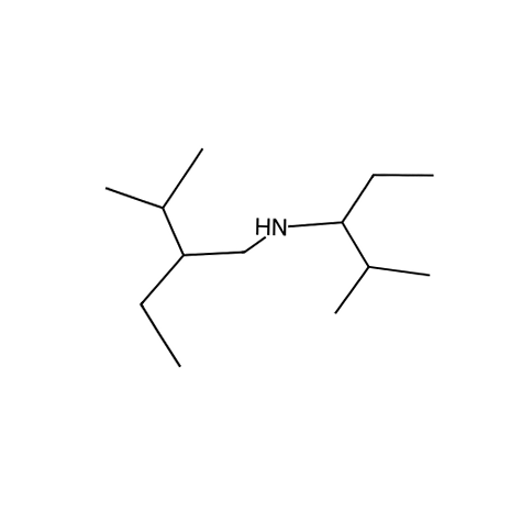 CCC(CNC(CC)C(C)C)C(C)C